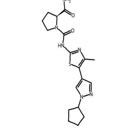 Cc1nc(NC(=O)N2CCC[C@H]2C(N)=O)sc1-c1cnn(C2CCCC2)c1